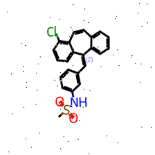 CS(=O)(=O)Nc1cccc(/C=C2/c3ccccc3C=Cc3c(Cl)cccc32)c1